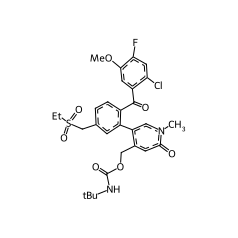 CCS(=O)(=O)Cc1ccc(C(=O)c2cc(OC)c(F)cc2Cl)c(-c2cn(C)c(=O)cc2COC(=O)NC(C)(C)C)c1